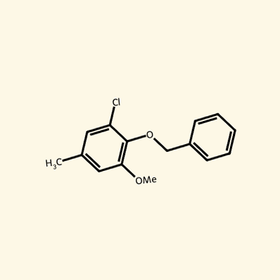 COc1cc(C)cc(Cl)c1OCc1ccccc1